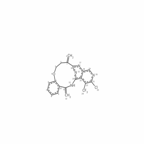 C=C1CCOc2ccccc2C(=C)Nc2nc1nc1cnc(Cl)c(C(F)(F)F)c21